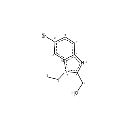 CCn1c(CO)nc2ccc(Br)cc21